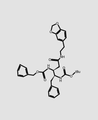 CC(C)(C)OC(=O)N[C@@H](Cc1ccccc1)[C@H](CC(=O)NCCc1ccc2c(c1)OCO2)NC(=O)OCc1ccccc1